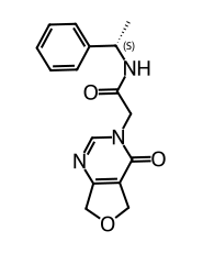 C[C@H](NC(=O)Cn1cnc2c(c1=O)COC2)c1ccccc1